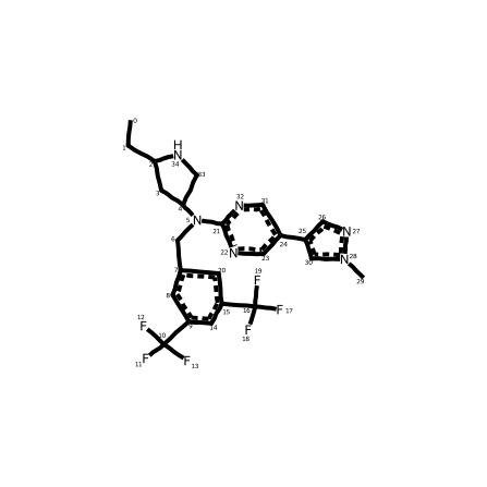 CCC1CC(N(Cc2cc(C(F)(F)F)cc(C(F)(F)F)c2)c2ncc(-c3cnn(C)c3)cn2)CN1